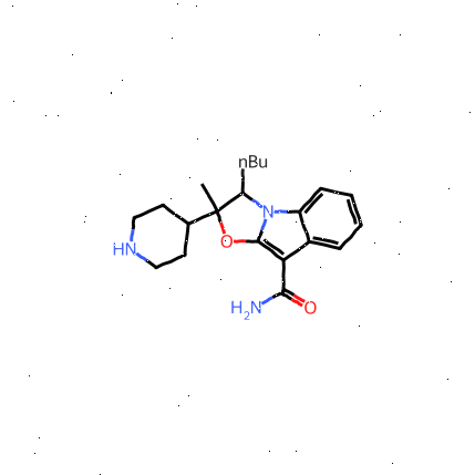 CCCCC1n2c(c(C(N)=O)c3ccccc32)OC1(C)C1CCNCC1